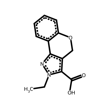 CCn1nc2c(c1C(=O)O)COc1ccccc1-2